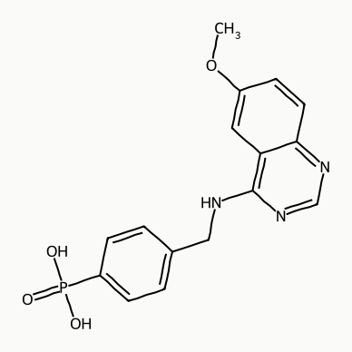 COc1ccc2ncnc(NCc3ccc(P(=O)(O)O)cc3)c2c1